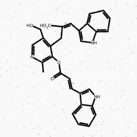 Cc1ncc(CO)c(C/C(=C\c2c[nH]c3ccccc23)C(=O)O)c1OC(=O)/C=C/c1c[nH]c2ccccc12